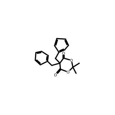 CC1(C)OC(=O)C(Cc2ccccc2)(Cc2ccccc2)C(=O)O1